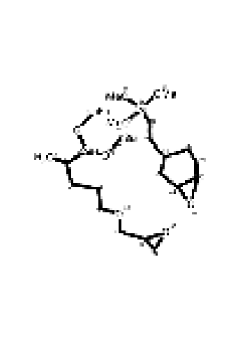 CCCCO[SiH](OCCCC)C(C)CCCOCC1CO1.CO[Si](CCC1CCC2OC2C1)(OC)OC